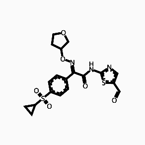 O=Cc1cnc(NC(=O)/C(=N/OC2CCOC2)c2ccc(S(=O)(=O)C3CC3)cc2)s1